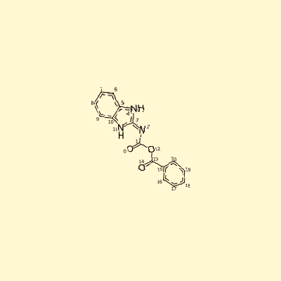 O=C(N=c1[nH]c2ccccc2[nH]1)OC(=O)c1ccccc1